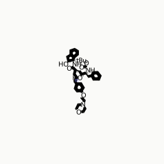 CC(C)(C)OC(=O)N[C@@H](Cc1ccccc1)[C@@H](O)C[C@@H](C/C=C/c1ccc(OCCN2CCOCC2)cc1)C(=O)N[C@H]1c2ccccc2C[C@H]1O